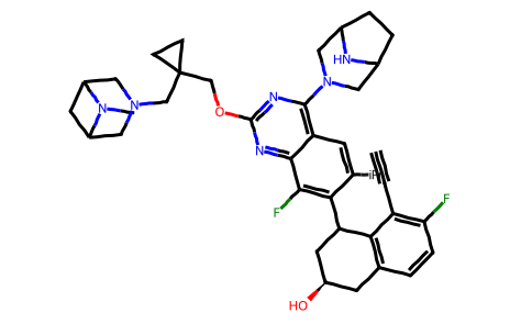 C#Cc1c(F)ccc2c1C(c1c(C(C)C)cc3c(N4CC5CCC(C4)N5)nc(OCC4(CN5CC6CC(C5)N6C)CC4)nc3c1F)C[C@H](O)C2